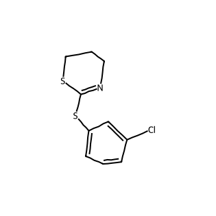 Clc1cccc(SC2=NCCCS2)c1